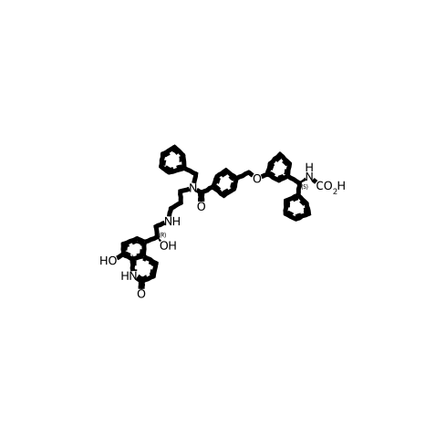 O=C(O)N[C@@H](c1ccccc1)c1cccc(OCc2ccc(C(=O)N(CCCNC[C@H](O)c3ccc(O)c4[nH]c(=O)ccc34)Cc3ccccc3)cc2)c1